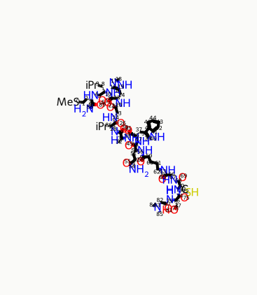 CSCC[C@H](NC(=O)[C@H](CC(C)C)NC(=O)[C@H](Cc1cnc[nH]1)NC(=O)CNC(=O)[C@@H](NC(=O)[C@H](C)NC(=O)[C@H](Cc1c[nH]c2ccccc12)NC(=O)[C@H](CCC(N)=O)NC(=O)CCCCNC(=O)CNC(=O)[C@H](CS)NC(=O)[C@H](CO)NC(=O)CN(C)C)C(C)C)C(N)=O